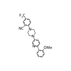 COc1ccccc1-c1ccc(N2CCN(c3ccc(C(F)(F)F)cc3C#N)CC2)cn1